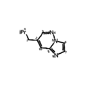 CC(C)Cc1cnn2ccnc2c1